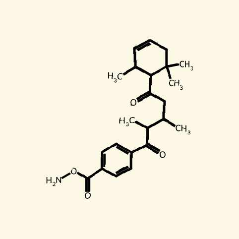 CC1C=CCC(C)(C)C1C(=O)CC(C)C(C)C(=O)c1ccc(C(=O)ON)cc1